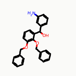 Nc1cccc(C(O)c2cccc(OCc3ccccc3)c2OCc2ccccc2)c1